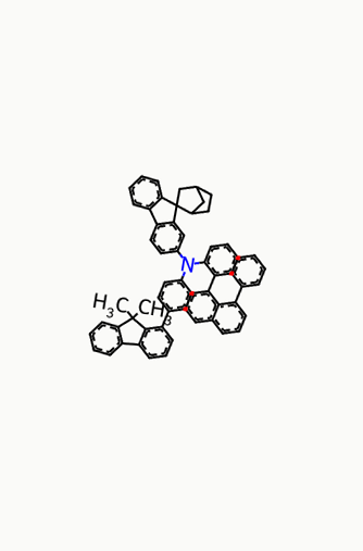 CC1(C)c2ccccc2-c2cccc(-c3ccc(N(c4ccc5c(c4)C4(CC6CCC4C6)c4ccccc4-5)c4ccccc4-c4cccc5cccc(-c6ccccc6)c45)cc3)c21